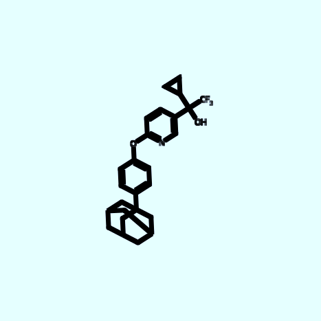 OC(c1ccc(Oc2ccc(C34CC5CC(CC(C5)C3)C4)cc2)nc1)(C1CC1)C(F)(F)F